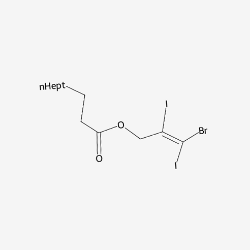 CCCCCCCCCC(=O)OCC(I)=C(Br)I